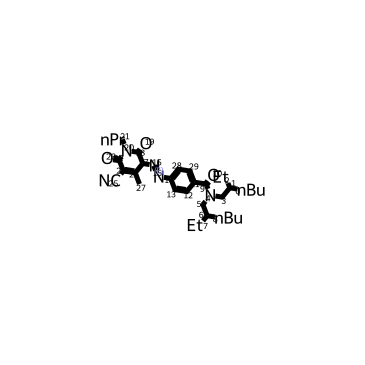 CCCCC(CC)CN(CC(CC)CCCC)C(=O)c1ccc(/N=N/C2C(=O)N(CCC)C(=O)C(C#N)=C2C)cc1